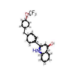 O=c1cc(-c2ccc(Cc3ccc(OC(F)(F)F)cc3)cc2)[nH]c2ccccc12